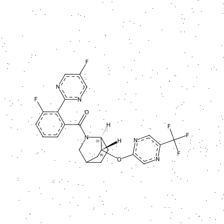 O=C(c1cccc(F)c1-c1ncc(F)cn1)N1CC2CC[C@H]1[C@H](Oc1cnc(C(F)(F)F)cn1)C2